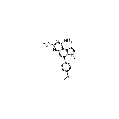 CSc1ccc(-c2cc3nc(N)nc(N)c3c3ccn(C)c23)cc1